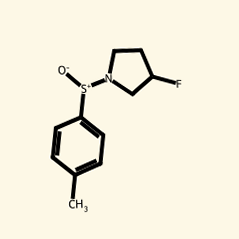 Cc1ccc([S+]([O-])N2CCC(F)C2)cc1